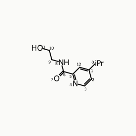 CC(C)c1ccnc(C(=O)NCCO)c1